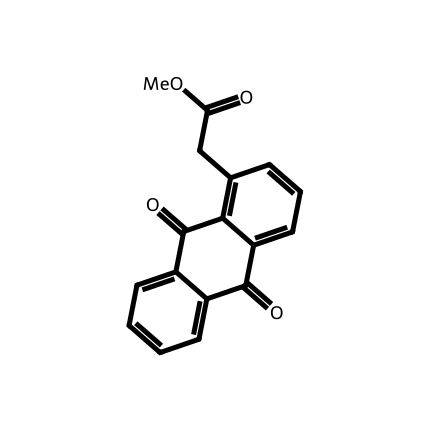 COC(=O)Cc1cccc2c1C(=O)c1ccccc1C2=O